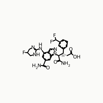 NC(=O)c1cc(NC2=NCC(F)CN2)c2cnn(C(C(N)=O)[C@@H](CC(=O)O)c3cccc(C(F)F)c3)c2c1